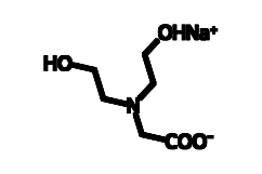 O=C([O-])CN(CCO)CCO.[Na+]